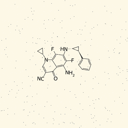 N#Cc1cn(C2CC2)c2c(F)c(N[C@@H]3C[C@H]3c3ccccc3)c(F)c(N)c2c1=O